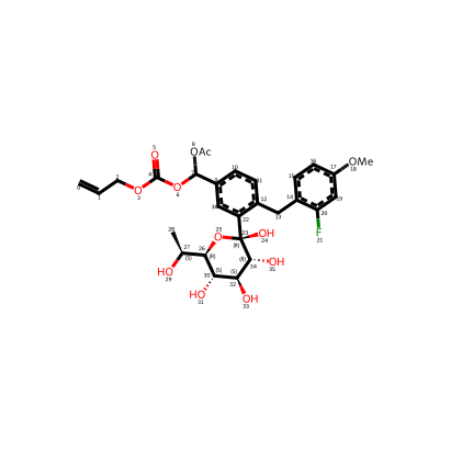 C=CCOC(=O)OC(OC(C)=O)c1ccc(Cc2ccc(OC)cc2F)c([C@@]2(O)O[C@H]([C@H](C)O)[C@@H](O)[C@H](O)[C@H]2O)c1